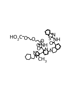 Cc1c(-c2ccc(N3CCc4cccc(C(=O)Nc5nc6ccccc6s5)c4C3)nc2C(=O)NS(=O)(=O)CCOCCOCC(=O)O)cnn1CC1CCCCC1